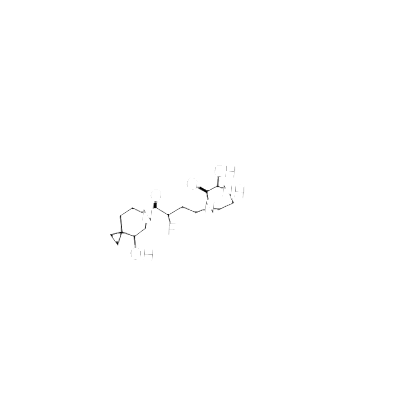 CC1NCCN(CCC(F)C(=O)N2CCC3(CC3)C(O)C2)C1=O